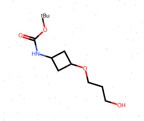 CC(C)(C)OC(=O)NC1CC(OCCCO)C1